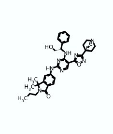 CCCN1C(=O)c2ccc(Nc3ncc(-c4nc(C56CCN(CC5)CC6)no4)c(N[C@H](CO)c4ccccc4)n3)cc2C1(C)C